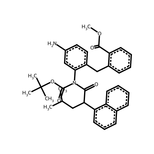 COC(=O)c1ccccc1Cc1ccc(N)cc1N(C(=O)OC(C)(C)C)C(=O)C(CC(C)C)c1cccc2ccccc12